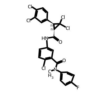 CN(C(=O)c1cc(NC(=O)[C@@H]2[C@@H](c3ccc(Cl)c(Cl)c3)C2(Cl)Cl)ccc1Cl)c1ccc(F)cc1